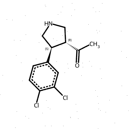 CC(=O)[C@H]1CNC[C@@H]1c1ccc(Cl)c(Cl)c1